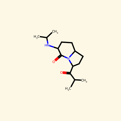 CC(C)NC1CCC2CCC(C(=O)C(C)C)N2C1=O